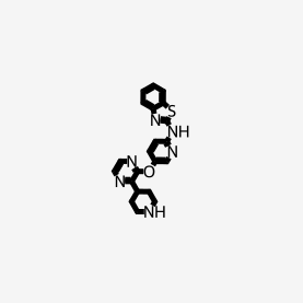 c1ccc2sc(Nc3ccc(Oc4nccnc4C4CCNCC4)cn3)nc2c1